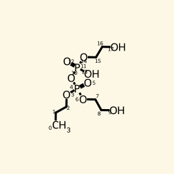 CCCOP(=O)(OCCO)OP(=O)(O)OCCO